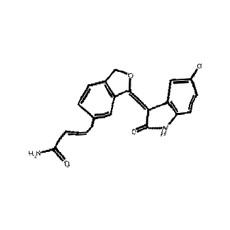 NC(=O)C=Cc1ccc2c(c1)C(=C1C(=O)Nc3ccc(Cl)cc31)OC2